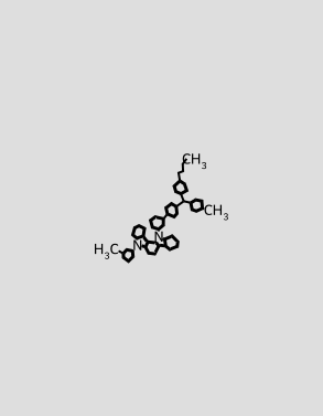 CCCCc1ccc(C(c2ccc(C)cc2)c2ccc(-c3cccc(-n4c5ccccc5c5ccc6c(c7ccccc7n6-c6cccc(C)c6)c54)c3)cc2)cc1